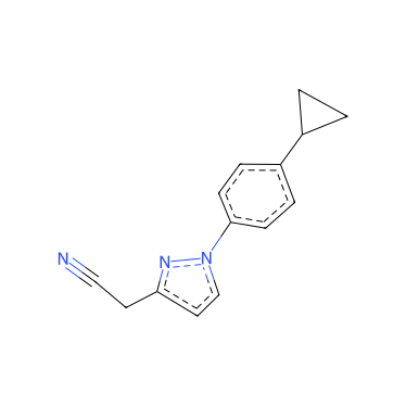 N#CCc1ccn(-c2ccc(C3CC3)cc2)n1